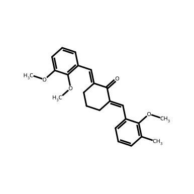 COc1cccc(/C=C2\CCC/C(=C\c3cccc(C)c3OC)C2=O)c1OC